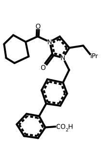 CC(C)Cc1cn(C(=O)C2CCCCC2)c(=O)n1Cc1ccc(-c2ccccc2C(=O)O)cc1